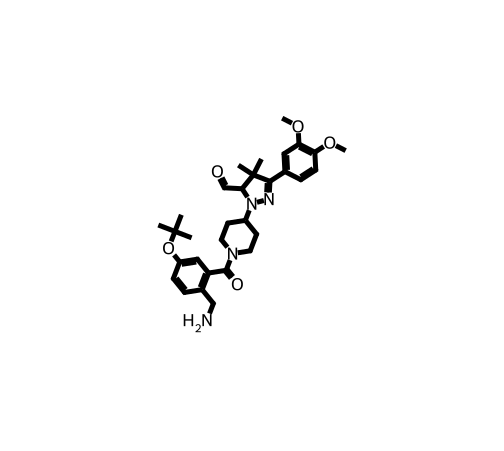 COc1ccc(C2=NN(C3CCN(C(=O)c4cc(OC(C)(C)C)ccc4CN)CC3)C(C=O)C2(C)C)cc1OC